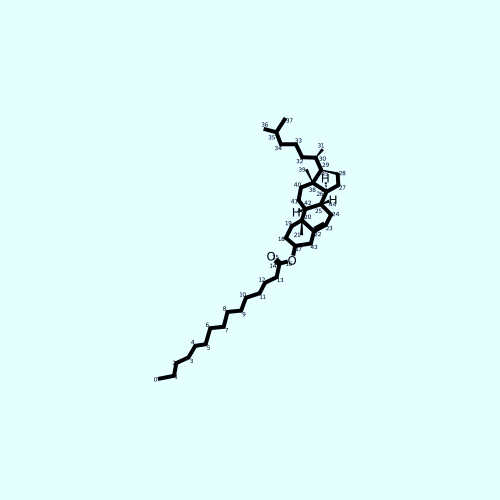 CCCCCCCCCCCCCCC(=O)OC1CC[C@@]2(C)C(=CC[C@H]3[C@@H]4CC[C@H]([C@H](C)CCCC(C)C)[C@@]4(C)CC[C@@H]32)C1